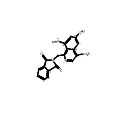 CCOC(=O)c1cnc(CN2C(=O)c3ccccc3C2=O)c2c(OC)cc(OC)cc12